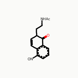 CC(=O)NCCC1C=Cc2c(N=O)cccc2C1=O